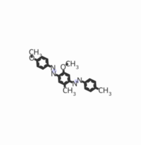 COc1ccc(/N=N/c2cc(C)c(/N=N/c3ccc(C)cc3)cc2OC)cc1